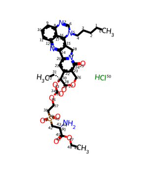 CCCCCN1C=Nc2cccc3nc4c(c1c23)Cn1c-4cc2c(c1=O)COC(=O)[C@@]2(CC)OC(=O)OCCS(=O)(=O)C[C@H](N)C(=O)OCC.Cl